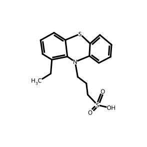 CCc1cccc2c1N(CCCS(=O)(=O)O)c1ccccc1S2